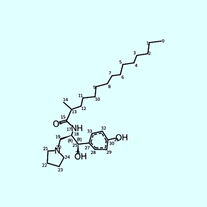 CCCCCCCCCCCCCC(C)C(=O)N[C@H](CN1CCCC1)[C@H](O)c1ccc(O)cc1